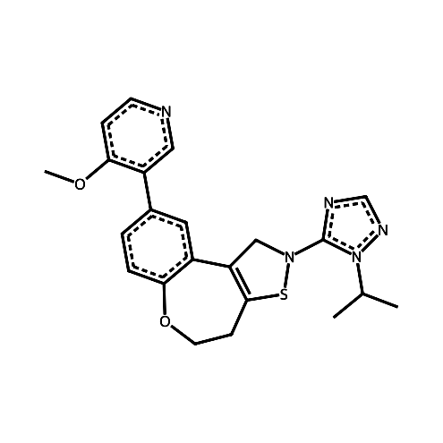 COc1ccncc1-c1ccc2c(c1)C1=C(CCO2)SN(c2ncnn2C(C)C)C1